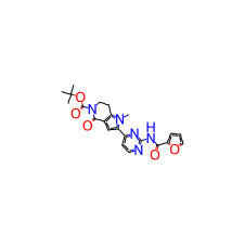 Cn1c(-c2ccnc(NC(=O)c3ccco3)n2)cc2c1CCN(C(=O)OC(C)(C)C)C2=O